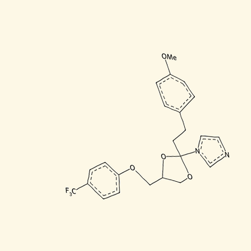 COc1ccc(CCC2(n3ccnc3)OCC(COc3ccc(C(F)(F)F)cc3)O2)cc1